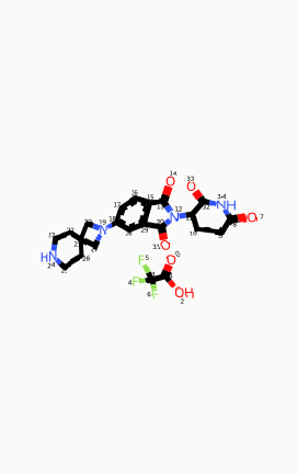 O=C(O)C(F)(F)F.O=C1CCC(N2C(=O)c3ccc(N4CC5(CCNCC5)C4)cc3C2=O)C(=O)N1